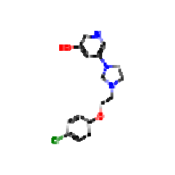 Oc1cncc(N2CCN(CCOc3ccc(Cl)cc3)C2)c1